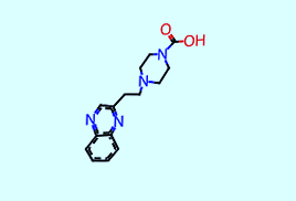 O=C(O)N1CCN(CCc2cnc3ccccc3n2)CC1